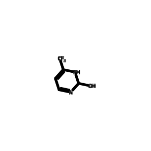 OC1N=CC=C(C(F)(F)F)N1